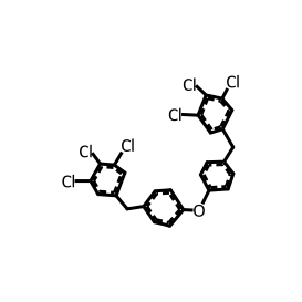 Clc1cc(Cc2ccc(Oc3ccc(Cc4cc(Cl)c(Cl)c(Cl)c4)cc3)cc2)cc(Cl)c1Cl